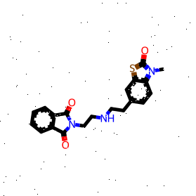 Cn1c(=O)sc2cc(CCNCCN3C(=O)c4ccccc4C3=O)ccc21